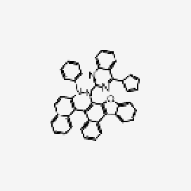 C1=CC(c2nc(N3c4c(c5ccccc5c5c4oc4ccccc45)-c4c(ccc5ccccc45)N3c3ccccc3)nc3ccccc23)C=C1